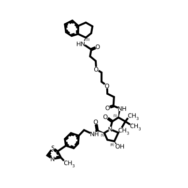 Cc1ncsc1-c1ccc(CNC(=O)[C@@H]2C[C@@H](O)CN2C(=O)[C@@H](NC(=O)CCOCCOCCC(=O)N[C@H]2CCCc3ccccc32)C(C)(C)C)cc1